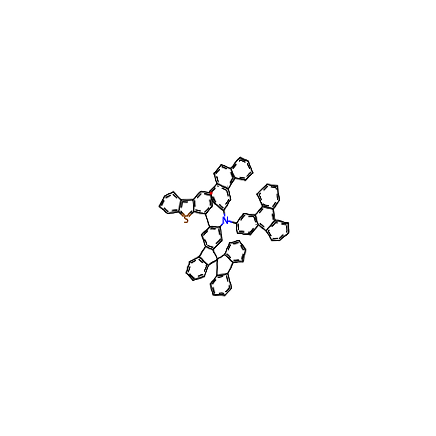 c1ccc2c(c1)-c1ccccc1C21c2ccccc2-c2cc(-c3cccc4c3sc3ccccc34)c(N(c3ccc4ccc5ccccc5c4c3)c3ccc4c5ccccc5c5ccccc5c4c3)cc21